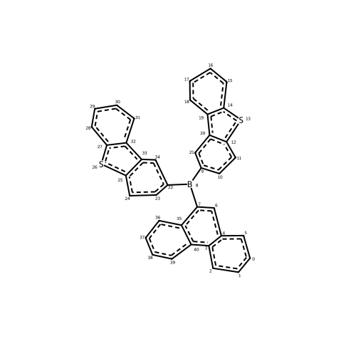 c1ccc2c(c1)cc(B(c1ccc3sc4ccccc4c3c1)c1ccc3sc4ccccc4c3c1)c1ccccc12